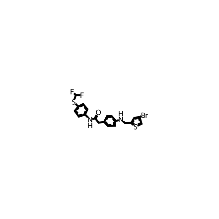 O=C(Cc1ccc(NCc2cc(Br)cs2)cc1)Nc1ccc(SC(F)F)cc1